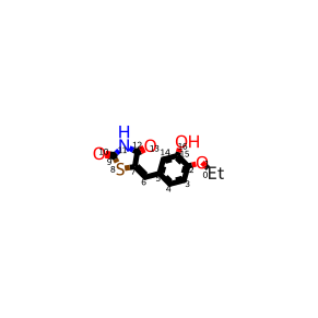 CCOc1ccc(C=C2SC(=O)NC2=O)cc1O